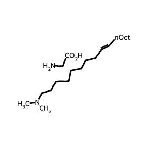 CCCCCCCCC=CCCCCCCCCN(C)C.NCC(=O)O